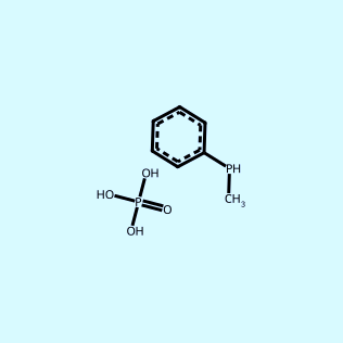 CPc1ccccc1.O=P(O)(O)O